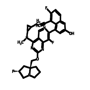 C#Cc1c(F)ccc2cc(O)cc(-c3ncc4c(N(C)C5CC5C)nc(OC[C@@]56CCCN5C[C@H](F)C6)nc4c3F)c12